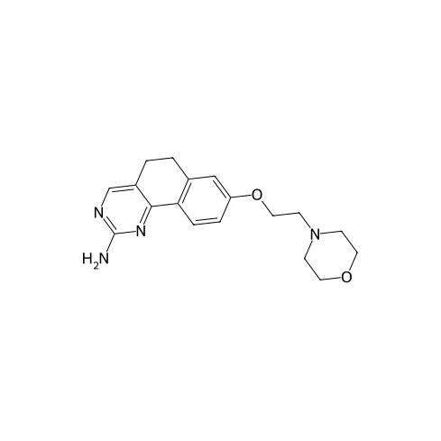 Nc1ncc2c(n1)-c1ccc(OCCN3CCOCC3)cc1CC2